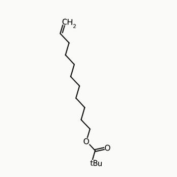 C=CCCCCCCCCCOC(=O)C(C)(C)C